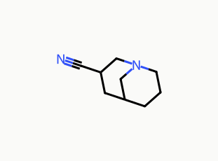 N#CC1CC2CCCN(C1)C2